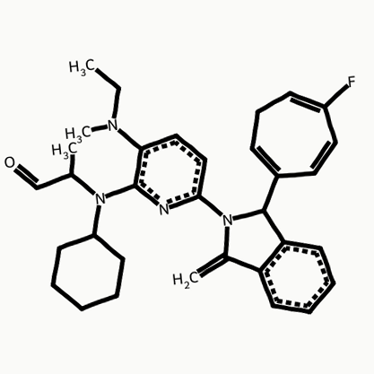 C=C1c2ccccc2C(C2=CCC=C(F)C=C2)N1c1ccc(N(C)CC)c(N(C(C)C=O)C2CCCCC2)n1